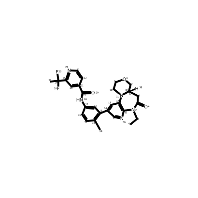 CCN1C(=O)C[C@H]2COCCN2c2cc(-c3cc(NC(=O)c4ccnc(C(C)(F)F)c4)ccc3C)cnc21